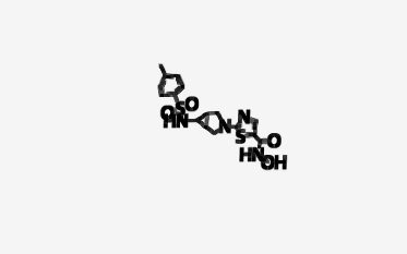 Cc1ccc(S(=O)(=O)NC2C3CN(c4ncc(C(=O)NO)s4)CC32)cc1